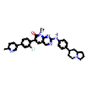 CCn1c(=O)c(-c2ccc(-c3ccc(C)nc3)cc2Cl)cc2cnc(Nc3ccc(C4CCN5CCCC5C4)cc3)nc21